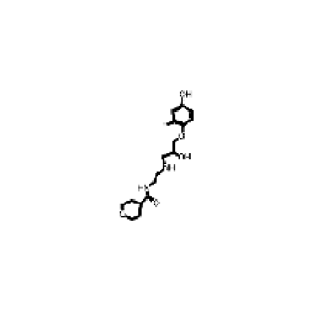 O=C(NCCNCC(O)COc1ccc(O)cc1F)C1CCOCC1